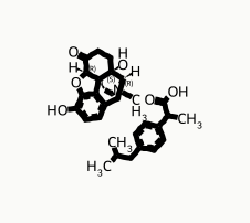 CC(C)Cc1ccc(C(C)C(=O)O)cc1.CN1CC[C@]23c4c5ccc(O)c4O[C@H]2C(=O)CC[C@@]3(O)[C@H]1C5